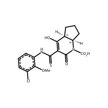 COc1c(Cl)cccc1NC(=S)C1=C(O)[C@H]2CCC[C@H]2N(C(=O)O)C1=O